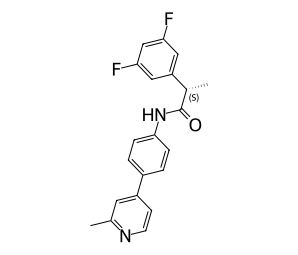 Cc1cc(-c2ccc(NC(=O)[C@@H](C)c3cc(F)cc(F)c3)cc2)ccn1